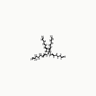 C=CCCCC=C[CH2][Ti]([CH2]C=CCCCC=C)([CH2]C=CCCCC=C)[CH2]C=CCCCC=C